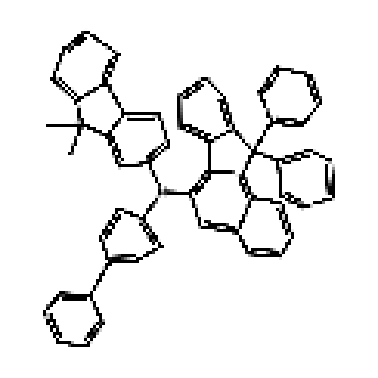 CC1(C)c2ccccc2-c2ccc(N(c3ccc(-c4ccccc4)cc3)c3cc4ccccc4c4c3-c3ccccc3C4(c3ccccc3)c3ccccc3)cc21